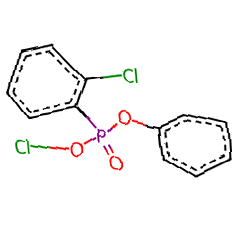 O=P(OCl)(Oc1ccccc1)c1ccccc1Cl